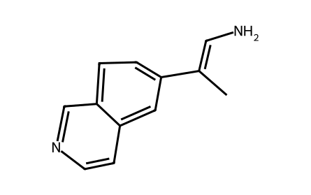 C/C(=C\N)c1ccc2cnccc2c1